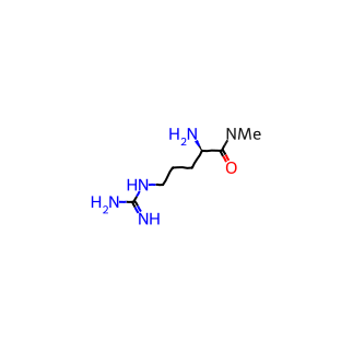 CNC(=O)[C@H](N)CCCNC(=N)N